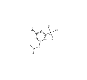 CC(C)Cc1cc(Cl)cc(C(F)(F)F)c1